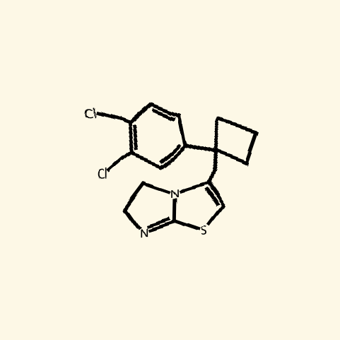 Clc1ccc(C2(C3=CSC4=NCCN34)CCC2)cc1Cl